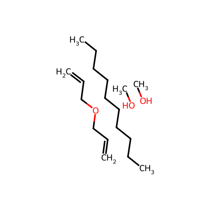 C=CCOCC=C.CCCCCCCCCC.CO.CO